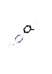 Cc1cc(N2CCN(C(C)C)CC2)ccc1Cl